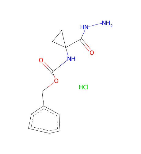 Cl.NNC(=O)C1(NC(=O)OCc2ccccc2)CC1